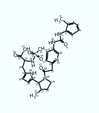 Cc1ccccc1NC(=O)Nc1ccc(CC(=O)N2CCC(C)C2c2ccc(CC(NS(C)(=O)=O)C(=O)O)[nH]2)nc1